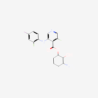 NC1CCCC(OC(=O)c2c(F)cncc2Nc2ccc(I)cc2F)C1O